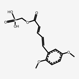 COc1ccc(OC)c(/C=C/C=C/C(=O)OCP(=O)(O)O)c1